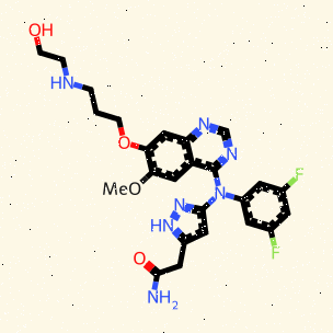 COc1cc2c(N(c3cc(F)cc(F)c3)c3cc(CC(N)=O)[nH]n3)ncnc2cc1OCCCNCCO